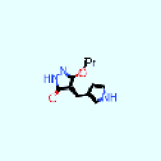 CC(C)OC1=NNC(=O)/C1=C/c1cc[nH]c1